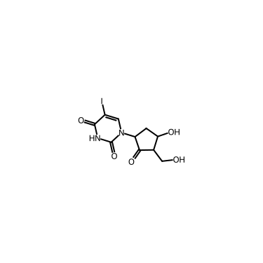 O=C1C(CO)C(O)CC1n1cc(I)c(=O)[nH]c1=O